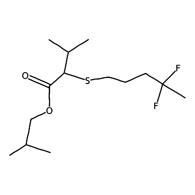 CC(C)COC(=O)C(SCCCC(C)(F)F)C(C)C